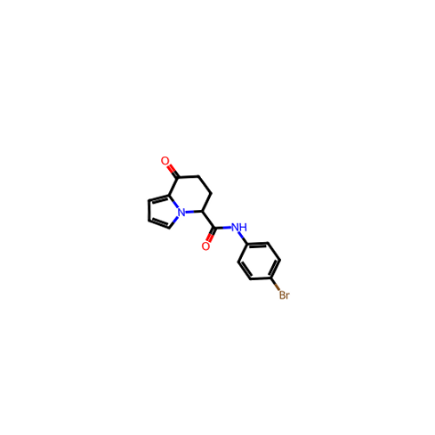 O=C1CCC(C(=O)Nc2ccc(Br)cc2)n2cccc21